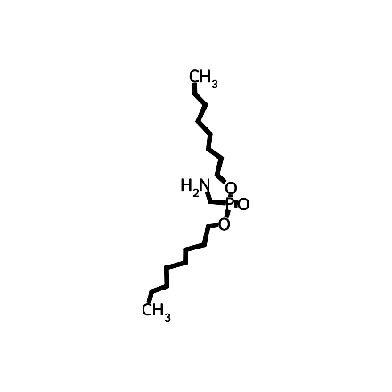 CCCCCCCCOP(=O)(CN)OCCCCCCCC